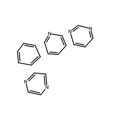 c1ccccc1.c1ccncc1.c1cnccn1.c1cncnc1